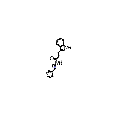 O=C(CCc1c[nH]c2ccccc12)N/N=C/c1ccsc1